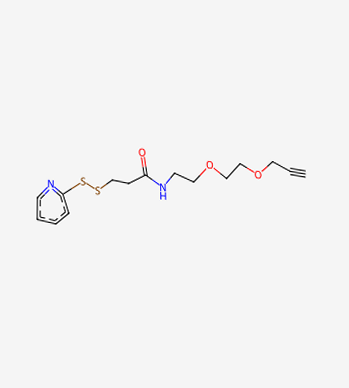 C#CCOCCOCCNC(=O)CCSSc1ccccn1